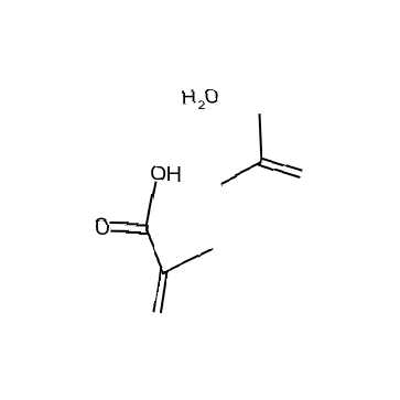 C=C(C)C.C=C(C)C(=O)O.O